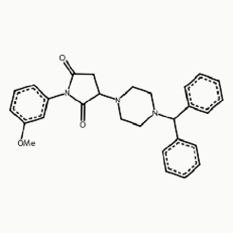 COc1cccc(N2C(=O)CC(N3CCN(C(c4ccccc4)c4ccccc4)CC3)C2=O)c1